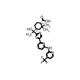 CC1(C)C[C@@H](C(C)(O)c2ncc(-c3cccc(Nc4cc(C(F)(F)F)ccn4)n3)s2)CC[C@@H]1C(=O)O